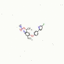 O=[N+]([O-])c1ccc(C(OP(=O)(N2CC2)N2CC2)C(F)(F)F)cc1Oc1ccc(-c2ccc(F)cn2)cc1